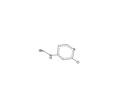 CC(C)(C)Nc1ccnc(Cl)c1